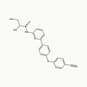 N#Cc1ccc(Oc2ccc(-c3cccc(NC(=O)C(O)CO)n3)cc2)cc1